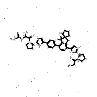 COC(=O)N[C@H](C(=O)N1CCC[C@H]1c1ncc(-c2ccc(-c3ccc(-c4cnc([C@@H]5CCCN5C(=O)CC(C)C)[nH]4)c4c3C(F)(F)C3(CCCC3)C4)cc2)[nH]1)C(C)C